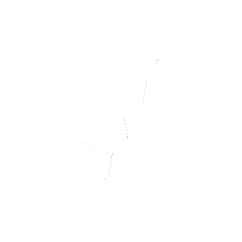 [O]C(=O)CCCCF